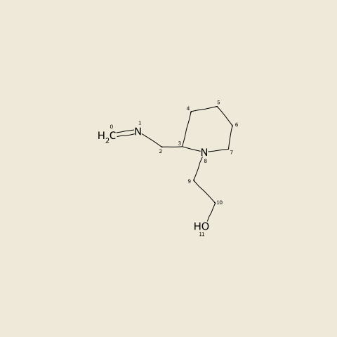 C=NCC1CCCCN1CCO